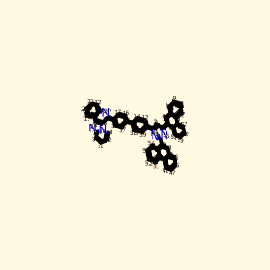 c1ccc2c(c1)cc(-c1cc(-c3ccc(-c4ccc(-c5nc6ccccc6c6nc7ccccn7c56)cc4)cc3)nc(-c3cc4ccccc4c4ccccc34)n1)c1ccccc12